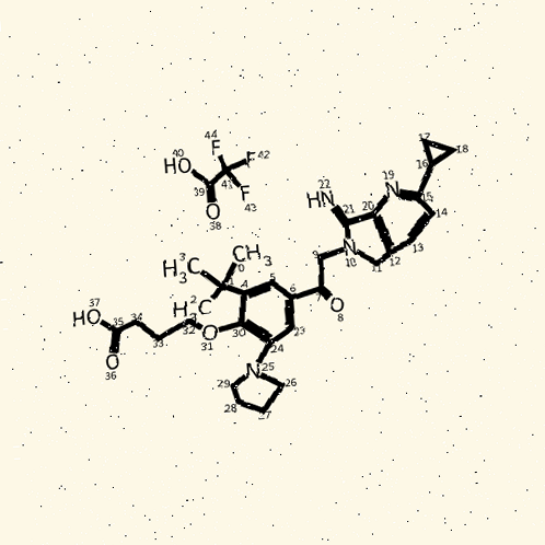 CC(C)(C)c1cc(C(=O)CN2Cc3ccc(C4CC4)nc3C2=N)cc(N2CCCC2)c1OCCCC(=O)O.O=C(O)C(F)(F)F